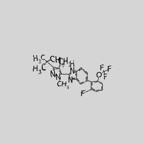 Cc1c(C(C)(C)C)nn(C)c1-c1nc2cc(-c3c(F)cccc3OC(F)(F)F)ccc2[nH]1